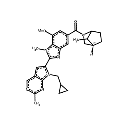 COc1cc(C(=O)N2C[C@H]3CCC2C3N)cc2nc(-c3cc4cnc(C)nc4n3CC3CC3)n(C)c12